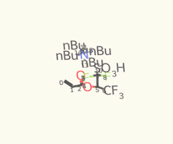 C=CC(=O)OC(C(F)(F)F)C(F)(F)S(=O)(=O)O.CCCC[N+](CCCC)(CCCC)CCCC